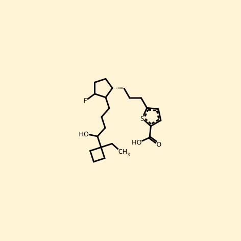 CCC1(C(O)CCCC2C(F)CC[C@@H]2CCCc2ccc(C(=O)O)s2)CCC1